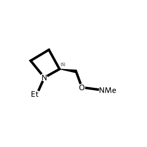 CCN1CC[C@H]1CONC